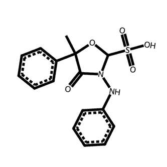 CC1(c2ccccc2)OC(S(=O)(=O)O)N(Nc2ccccc2)C1=O